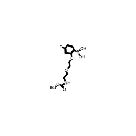 CC(C)(C)OC(=O)NCCOCCOc1cc(F)ccc1B(O)O